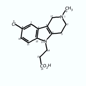 CN1CCc2c(c3cc(Cl)ccc3n2CCC(=O)O)C1